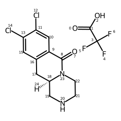 O=C(O)C(F)(F)F.O=C1c2cc(Cl)c(Cl)cc2C[C@@H]2CNCCN12